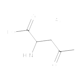 CC(=O)CC(N)C(=O)O.[As]